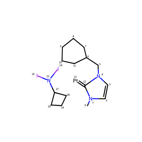 Cn1ccn(CC2CCCCC2)[c]1=[Pt].IN(I)C1CCC1